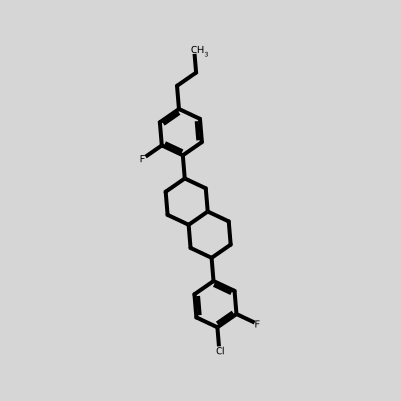 CCCc1ccc(C2CCC3CC(c4ccc(Cl)c(F)c4)CCC3C2)c(F)c1